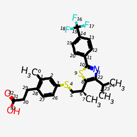 Cc1cc(SC[C@H](C)c2sc(-c3ccc(C(F)(F)F)cc3)nc2C(C)C)ccc1CCC(=O)O